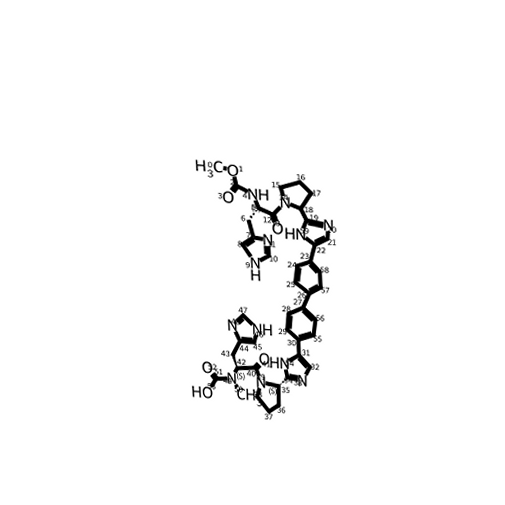 COC(=O)N[C@@H](Cc1c[nH]cn1)C(=O)N1CCCC1c1ncc(-c2ccc(-c3ccc(-c4cnc([C@@H]5CCCN5C(=O)[C@H](Cc5c[nH]cn5)N(C)C(=O)O)[nH]4)cc3)cc2)[nH]1